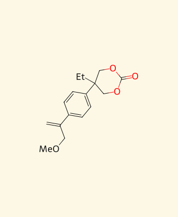 C=C(COC)c1ccc(C2(CC)COC(=O)OC2)cc1